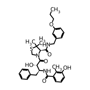 CCCOc1cccc(CNC(=O)[C@H]2N(C(=O)[C@@H](O)[C@H](Cc3ccccc3)NC(=O)c3cccc(O)c3C)CSC2(C)C)c1